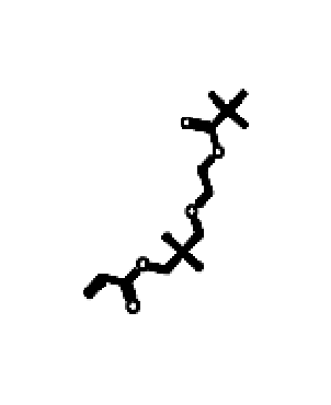 C=CC(=O)OCC(C)(C)COCCOC(=O)C(C)(C)C